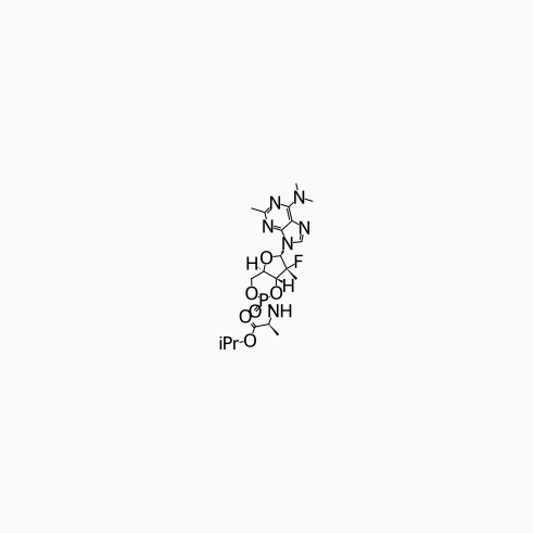 Cc1nc(N(C)C)c2ncn([C@@H]3O[C@@H]4COP(=O)(N[C@@H](C)C(=O)OC(C)C)O[C@H]4[C@@]3(C)F)c2n1